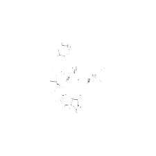 Cn1nc(Cl)c2cc(CNC(=O)[C@@H]3C[C@@H](Cc4ccncc4)CN3C(=O)[C@H](N)CCC(=O)N3CCCC3)ccc21